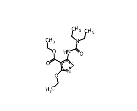 CCOC(=O)c1c(OCC)nsc1NC(=O)N(CC)CC